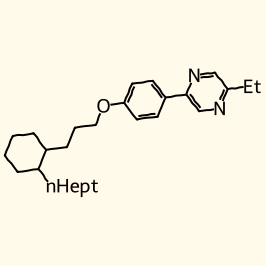 CCCCCCCC1CCCCC1CCCOc1ccc(-c2cnc(CC)cn2)cc1